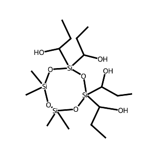 CCC(O)[Si]1(C(O)CC)O[Si](C)(C)O[Si](C)(C)O[Si](C(O)CC)(C(O)CC)O1